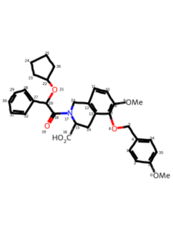 COc1ccc(COc2c(OC)ccc3c2CC(C(=O)O)N(C(=O)C(OC2CCCC2)c2ccccc2)C3)cc1